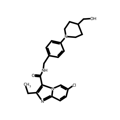 CCc1nc2ccc(Cl)cn2c1C(=O)NCc1ccc(N2CCC(CO)CC2)cc1